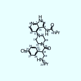 CCCC(=O)Nc1c[nH]c2nccc(N3CCN(C(=O)C(CNC(C)C)c4ccc(Cl)cc4)CC3)c12